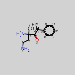 CCC(C(=O)C(N)(CCN)C(=O)O)c1ccccc1